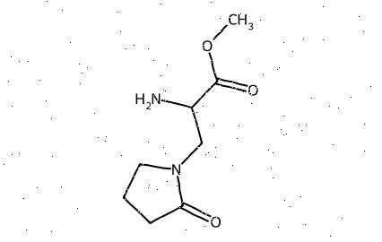 COC(=O)C(N)CN1CCCC1=O